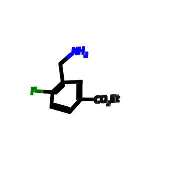 CCOC(=O)c1ccc(F)c(CN)c1